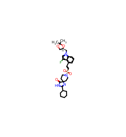 CC1(C)OC[C@H](Cn2cc(F)c3c(C=CS(=O)(=O)N4CCC5(CC4)N=C(C4CCCCC4)NC5=O)cccc32)O1